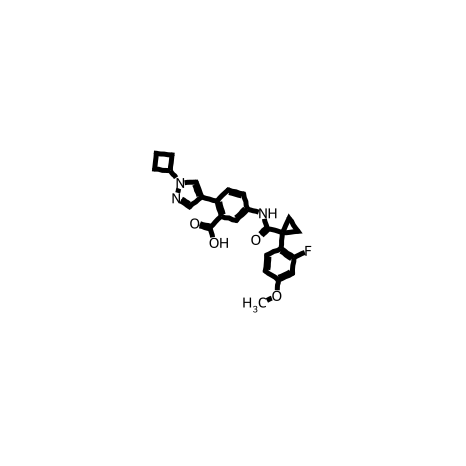 COc1ccc(C2(C(=O)Nc3ccc(-c4cnn(C5CCC5)c4)c(C(=O)O)c3)CC2)c(F)c1